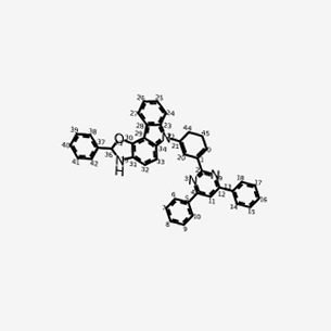 C1=C(c2nc(-c3ccccc3)cc(-c3ccccc3)n2)C=C(n2c3ccccc3c3c4c(ccc32)NC(c2ccccc2)O4)CC1